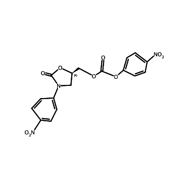 O=C(OC[C@H]1CN(c2ccc([N+](=O)[O-])cc2)C(=O)O1)Oc1ccc([N+](=O)[O-])cc1